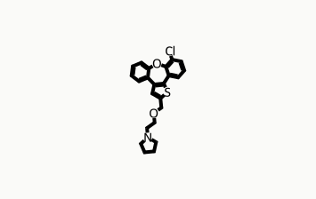 Clc1cccc2c1Oc1ccccc1-c1cc(COCCN3CCCC3)sc1-2